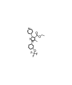 CCOC(=O)c1c(-c2ccncc2)nn(-c2cccc(OC(F)(F)F)c2)c1C